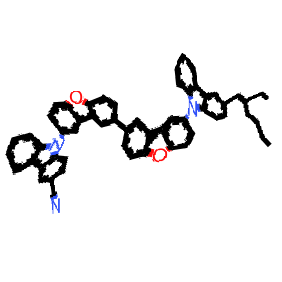 CCCCC(CC)Cc1ccc2c(c1)c1ccccc1n2-c1ccc2oc3ccc(-c4ccc5oc6ccc(-n7c8ccccc8c8cc(C#N)ccc87)cc6c5c4)cc3c2c1